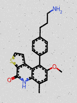 COc1cc(C)c2[nH]c(=O)c3sccc3c2c1-c1ccc(CCCN)cc1